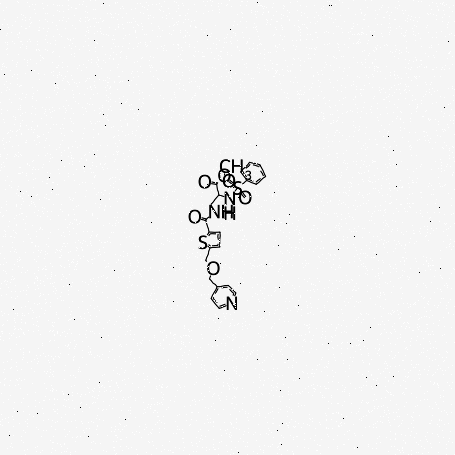 COC(=O)C(CNC(=O)c1ccc(COCc2ccncc2)s1)NS(=O)(=O)c1ccccc1